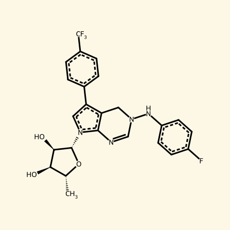 C[C@H]1O[C@@H](n2cc(-c3ccc(C(F)(F)F)cc3)c3c2N=CN(Nc2ccc(F)cc2)C3)[C@H](O)[C@@H]1O